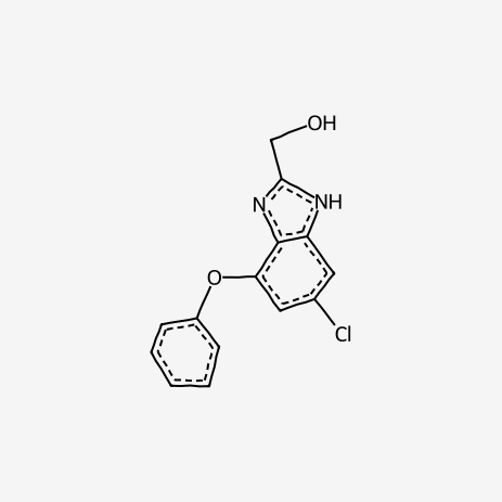 OCc1nc2c(Oc3ccccc3)cc(Cl)cc2[nH]1